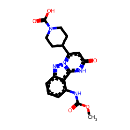 COC(=O)Nc1cccc2nn3c(C4CCN(C(=O)O)CC4)cc(=O)[nH]c3c12